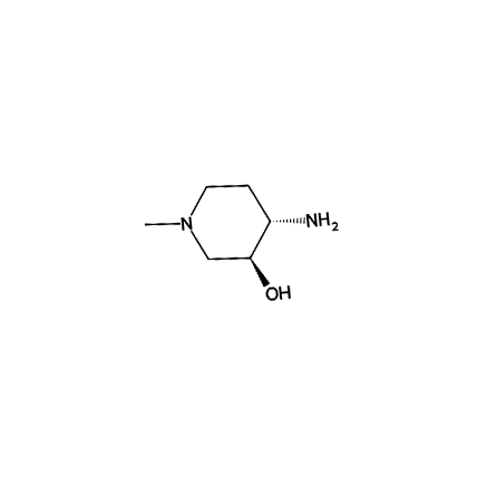 CN1CC[C@H](N)[C@@H](O)C1